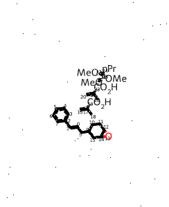 C(=Cc1ccccc1)CC1CCC2OC2C1.C=C(C)C(=O)O.C=C(C)C(=O)O.CCC[Si](OC)(OC)OC